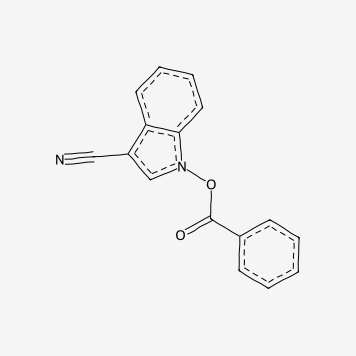 N#Cc1cn(OC(=O)c2ccccc2)c2ccccc12